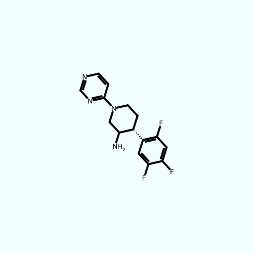 NC1CN(c2ccncn2)CC[C@@H]1c1cc(F)c(F)cc1F